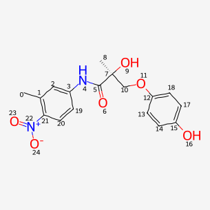 Cc1cc(NC(=O)[C@@](C)(O)COc2ccc(O)cc2)ccc1[N+](=O)[O-]